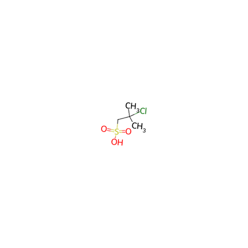 CC(C)(Cl)CS(=O)(=O)O